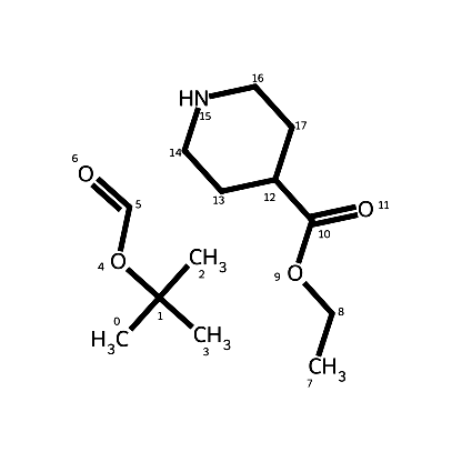 CC(C)(C)OC=O.CCOC(=O)C1CCNCC1